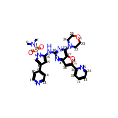 CN(C)S(=O)(=O)n1cc(-c2ccncc2)cc1Nc1nc(N2CCOCC2)c2oc(-c3ccccn3)cc2n1